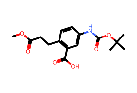 COC(=O)CCc1ccc(NC(=O)OC(C)(C)C)cc1C(=O)O